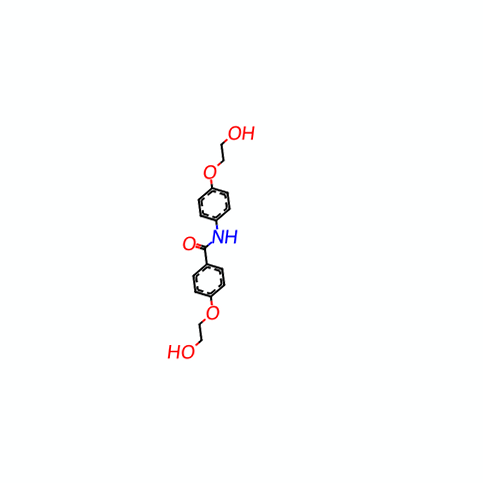 O=C(Nc1ccc(OCCO)cc1)c1ccc(OCCO)cc1